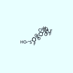 C[C@@](O)(C(=O)Nc1ccc(S(=O)(=O)c2ccc(SCCO)c(F)c2)cc1Cl)C(F)(F)F